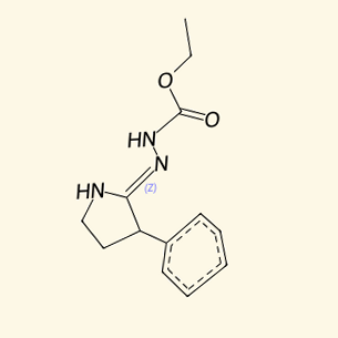 CCOC(=O)N/N=C1\NCCC1c1ccccc1